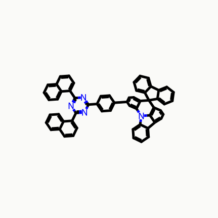 c1ccc2c(c1)-c1ccccc1C21c2ccc(-c3ccc(-c4nc(-c5cccc6ccccc56)nc(-c5cccc6ccccc56)n4)cc3)cc2-n2c3ccccc3c3cccc1c32